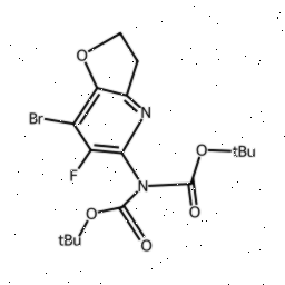 CC(C)(C)OC(=O)N(C(=O)OC(C)(C)C)c1nc2c(c(Br)c1F)OCC2